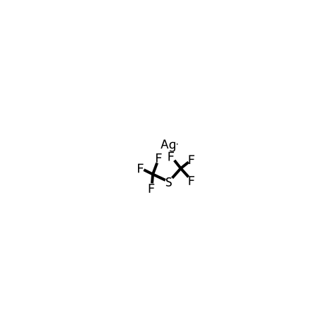 FC(F)(F)SC(F)(F)F.[Ag]